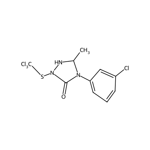 CC1NN(SC(Cl)(Cl)Cl)C(=O)N1c1cccc(Cl)c1